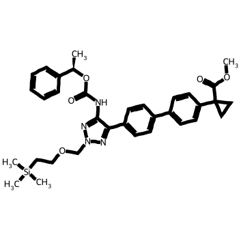 COC(=O)C1(c2ccc(-c3ccc(-c4nn(COCC[Si](C)(C)C)nc4NC(=O)O[C@H](C)c4ccccc4)cc3)cc2)CC1